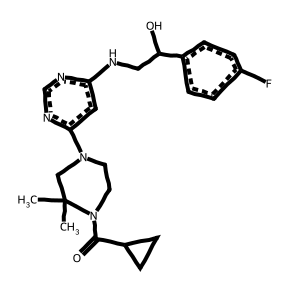 CC1(C)CN(c2cc(NCC(O)c3ccc(F)cc3)ncn2)CCN1C(=O)C1CC1